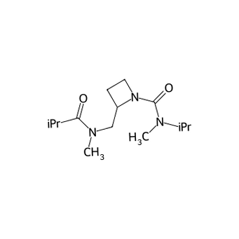 CC(C)C(=O)N(C)CC1CCN1C(=O)N(C)C(C)C